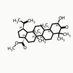 C=C(C)[C@@H]1CC[C@]2(C(=O)OC)CC[C@]3(C)C(CCC4[C@@]5(C)C[C@@H](O)C(=O)C(C)(C)C5CC[C@]43C)C12